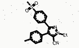 CCn1nc(-c2ccc(S(C)(=O)=O)cc2)c(-c2ccc(C)cc2)c1C#N